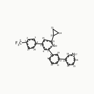 FC(F)(F)c1ccc(-c2cc(-c3cccc(-c4cccnc4)c3)nc(C3CC3)c2)cc1